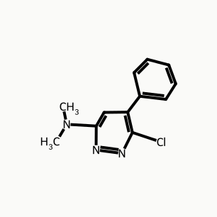 CN(C)c1cc(-c2ccccc2)c(Cl)nn1